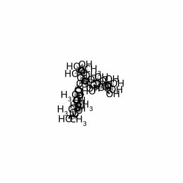 C[C@@H]1O[C@@H](O[C@H]2[C@H](O[C@H]3CC[C@@]4(C)C(=CC[C@H]5[C@@H]6C[C@@H]7O[C@]8(CC[C@@](C)(CO)O8)[C@@H](C)[C@@H]7[C@@]6(C)CC[C@@H]54)C3)O[C@H](CO)[C@@H](O[C@@H]3O[C@H](CO)[C@@H](O)[C@H](O[C@@H]4O[C@H](CO)[C@@H](O)[C@H](O)[C@H]4O)[C@H]3O)[C@@H]2O)[C@H](O)[C@H](O)[C@H]1O